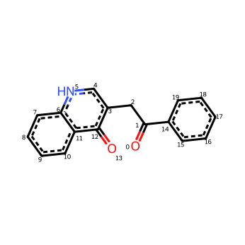 O=C(Cc1c[nH]c2ccccc2c1=O)c1ccccc1